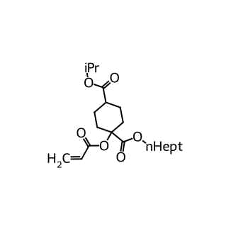 C=CC(=O)OC1(C(=O)OCCCCCCC)CCC(C(=O)OC(C)C)CC1